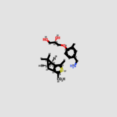 Cc1cc(CN)ccc1OC[C@@H](O)CO.Cc1sc(C(=O)O)c2c1[C@H]1[C@@H](C2)C1(C)C